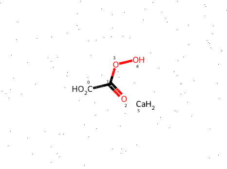 O=C(O)C(=O)OO.[CaH2]